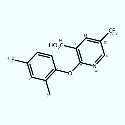 Cc1cc(F)ccc1Oc1ncc(C(F)(F)F)cc1C(=O)O